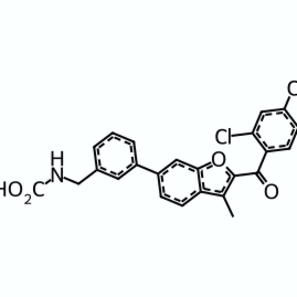 Cc1c(C(=O)c2ccc(Cl)cc2Cl)oc2cc(-c3cccc(CNC(=O)O)c3)ccc12